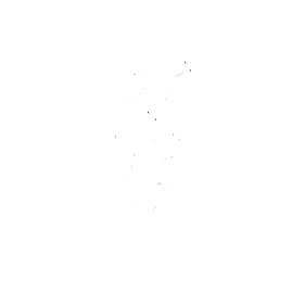 CCOC(=O)c1c(-c2ccc(F)cc2)csc1NC=C(C#N)C(=O)OC(C)(C)C